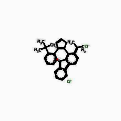 CC(C)=c1ccc2c(c1C1=C(c3ccccc3C(C)(C)C)C=CC1)[C]([Zr+2])=c1ccccc1=2.[Cl-].[Cl-]